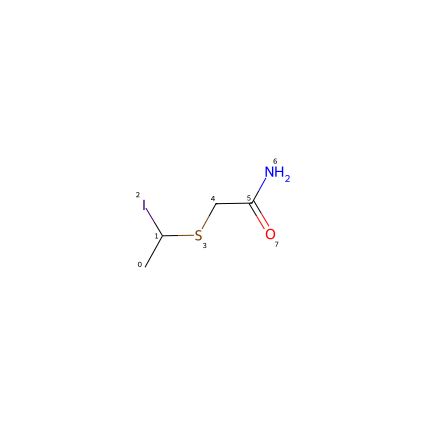 CC(I)SCC(N)=O